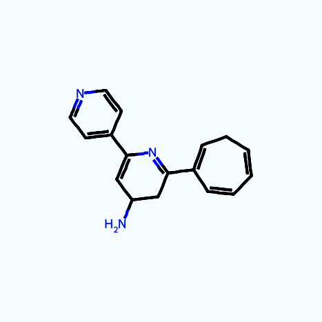 NC1C=C(c2ccncc2)N=C(C2=CCC=CC=C2)C1